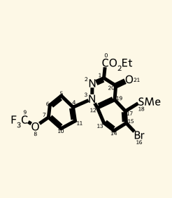 CCOC(=O)c1nn(-c2ccc(OC(F)(F)F)cc2)c2ccc(Br)c(SC)c2c1=O